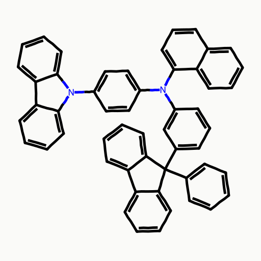 c1ccc(C2(c3cccc(N(c4ccc(-n5c6ccccc6c6ccccc65)cc4)c4cccc5ccccc45)c3)c3ccccc3-c3ccccc32)cc1